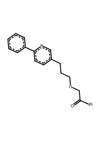 CC(C)C(=O)COCCCc1ccc(-c2ccccc2)nc1